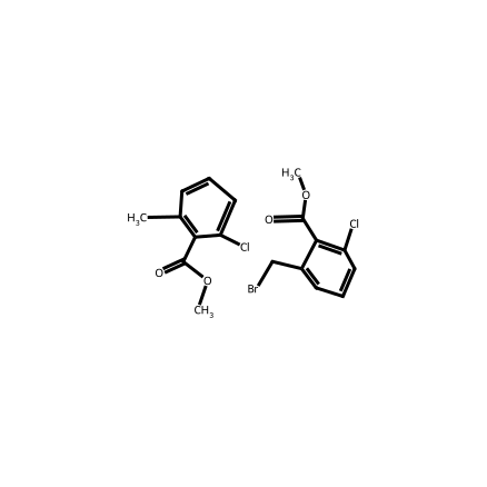 COC(=O)c1c(C)cccc1Cl.COC(=O)c1c(Cl)cccc1CBr